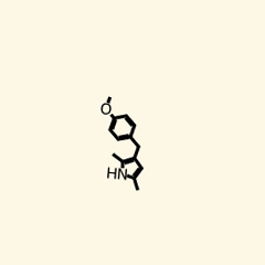 COc1ccc(Cc2cc(C)[nH]c2C)cc1